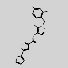 Cc1c(NC(=O)c2cc(-c3ccco3)on2)cnn1Cc1ccc(C(F)(F)F)cc1C(F)(F)F